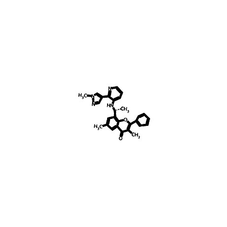 Cc1cc([C@@H](C)Nc2cccnc2-c2cnn(C)c2)c2oc(-c3ccccc3)c(C)c(=O)c2c1